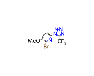 COc1ccc(-n2nnnc2C(F)(F)F)nc1Br